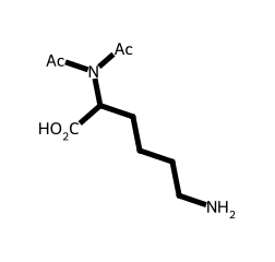 CC(=O)N(C(C)=O)C(CCCCN)C(=O)O